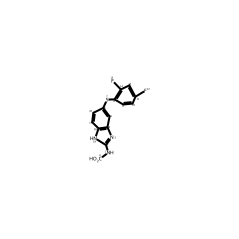 O=C(O)Nc1nc2cc(Sc3ccc(F)cc3F)ccc2[nH]1